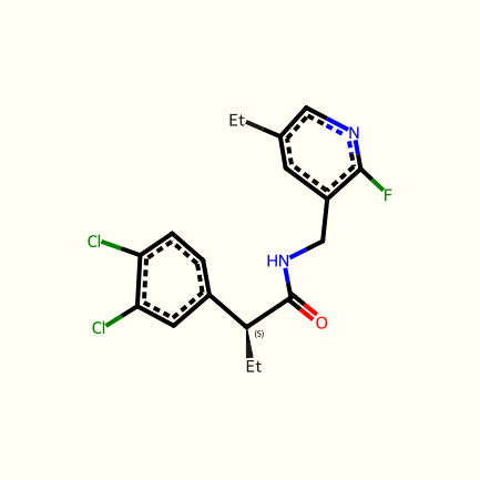 CCc1cnc(F)c(CNC(=O)[C@@H](CC)c2ccc(Cl)c(Cl)c2)c1